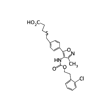 Cc1noc(-c2ccc(CSCCC(=O)O)cc2)c1NC(=O)OCCc1ccccc1Cl